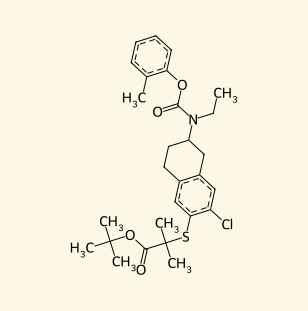 CCN(C(=O)Oc1ccccc1C)C1CCc2cc(SC(C)(C)C(=O)OC(C)(C)C)c(Cl)cc2C1